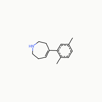 Cc1ccc(C)c(C2=CCCNCC2)c1